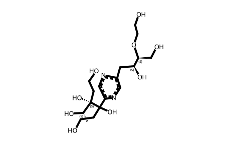 C[C@H](O)[C@@](O)(CCO)C(O)(CCO)c1cnc(C[C@H](O)[C@H](CO)OCCO)cn1